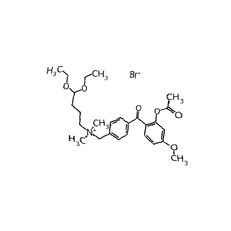 CCOC(CCC[N+](C)(C)Cc1ccc(C(=O)c2ccc(OC)cc2OC(C)=O)cc1)OCC.[Br-]